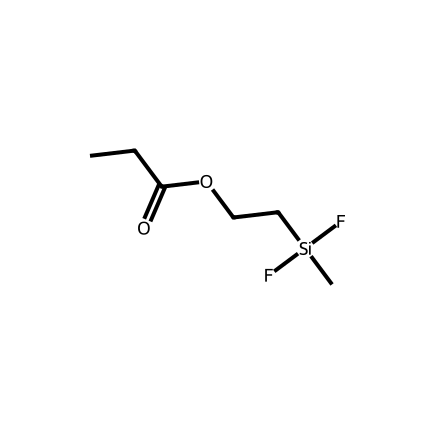 CCC(=O)OCC[Si](C)(F)F